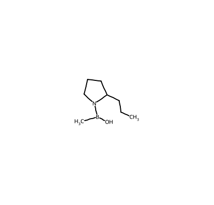 CCCC1CCCN1B(C)O